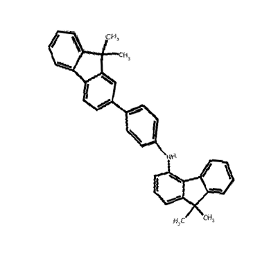 CC1(C)c2ccccc2-c2ccc(-c3ccc(Nc4cccc5c4-c4ccccc4C5(C)C)cc3)cc21